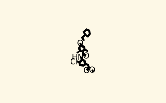 COC(=O)Cc1ccc(Cl)c(NC(=O)c2c(C)cc(OCCC3CCCCC3)cc2C)c1